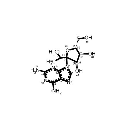 CC(C)[C@@]1(n2cnc3c(N)nc(N)nc32)O[C@H](CO)[C@@H](O)[C@H]1O